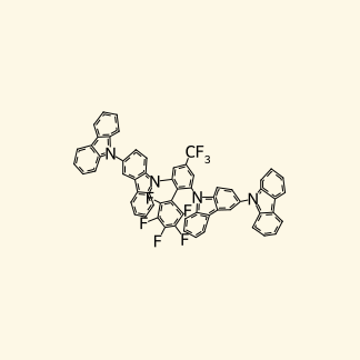 Fc1c(F)c(F)c(-c2c(-n3c4ccccc4c4cc(-n5c6ccccc6c6ccccc65)ccc43)cc(C(F)(F)F)cc2-n2c3ccccc3c3cc(-n4c5ccccc5c5ccccc54)ccc32)c(F)c1F